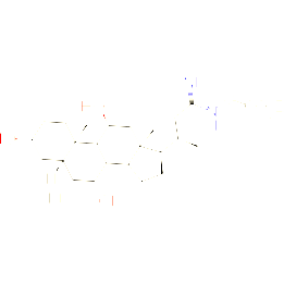 CCOC(=O)ONC(=N)C[C@@H](C)[C@H]1CCC2C3C([C@@H](O)C[C@@]21C)[C@@]1(C)CC[C@@H](O)C[C@H]1[C@@H](CC)[C@H]3O